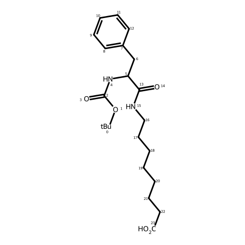 CC(C)(C)OC(=O)NC(Cc1ccccc1)C(=O)NCCCCCCCC(=O)O